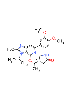 COc1ccc(-c2cc3nc(C)n(C(C)C)c3c(OC(C)[C@H]3CNC(=O)C3)n2)cc1OC